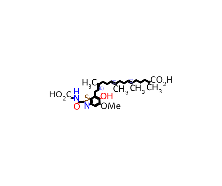 COc1cc2nc(C(=O)NCC(=O)O)sc2c(C/C=C(\C)CC/C=C(\C)CC/C=C(\C)CCCC(C)C(=O)O)c1O